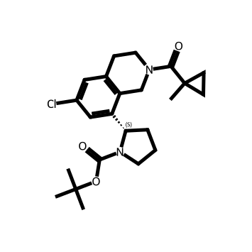 CC(C)(C)OC(=O)N1CCC[C@H]1c1cc(Cl)cc2c1CN(C(=O)C1(C)CC1)CC2